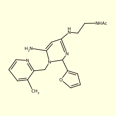 CC(=O)NCCNC1=NC(c2ccco2)N(Cc2ncccc2C)C(N)=C1